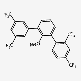 COc1c(-c2cc(C(F)(F)F)cc(C(F)(F)F)c2)cccc1-c1ccc(C(F)(F)F)cc1C(F)(F)F